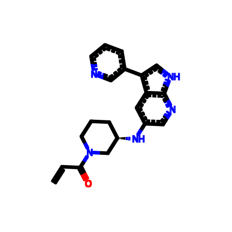 C=CC(=O)N1CCC[C@H](Nc2cnc3[nH]cc(-c4cccnc4)c3c2)C1